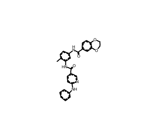 Cc1ccc(NC(=O)c2ccc3c(c2)OCCO3)cc1NC(=O)c1ccc(Nc2ccccc2)nc1